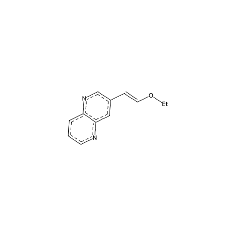 CCOC=Cc1cnc2cccnc2c1